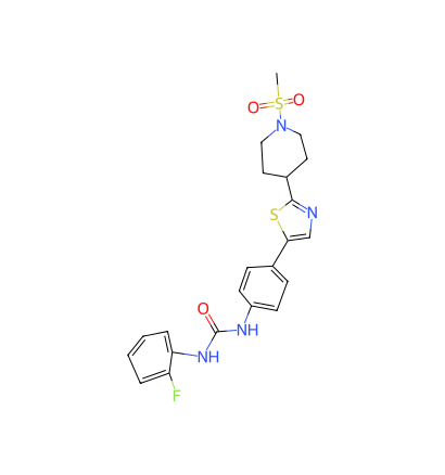 CS(=O)(=O)N1CCC(c2ncc(-c3ccc(NC(=O)Nc4ccccc4F)cc3)s2)CC1